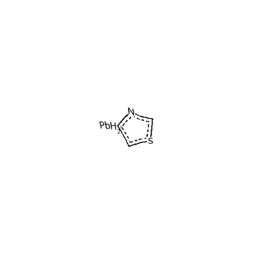 [PbH2].c1cscn1